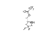 O=C(OC[C@H]1CC(F)(F)CN1)C(F)(F)F